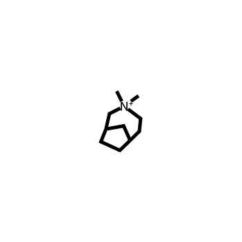 C[N+]1(C)CCC2CCC(C2)C1